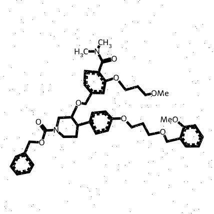 COCCCOc1cc(COC2CN(C(=O)OCc3ccccc3)CCC2c2ccc(OCCCOCc3ccccc3OC)cc2)ccc1C(=O)N(C)C